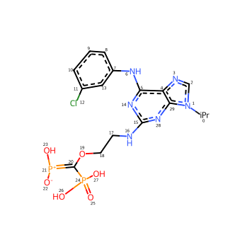 CC(C)n1cnc2c(Nc3cccc(Cl)c3)nc(NCCO/C(=[P+](/[O-])O)P(=O)(O)O)nc21